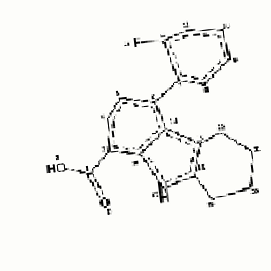 O=C(O)c1ccc(-c2ccccc2F)c2c3c([nH]c12)CCCC3